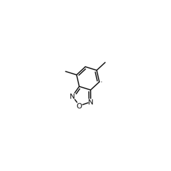 Cc1[c]c2nonc2c(C)c1